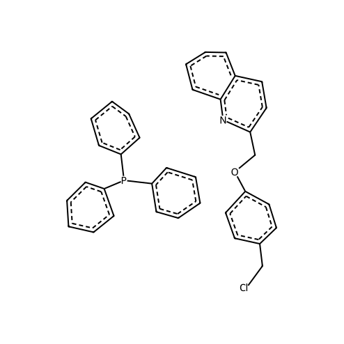 ClCc1ccc(OCc2ccc3ccccc3n2)cc1.c1ccc(P(c2ccccc2)c2ccccc2)cc1